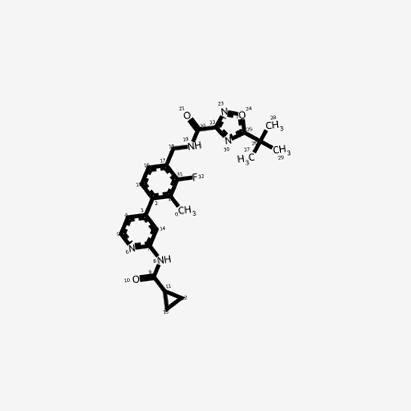 Cc1c(-c2ccnc(NC(=O)C3CC3)c2)ccc(CNC(=O)c2noc(C(C)(C)C)n2)c1F